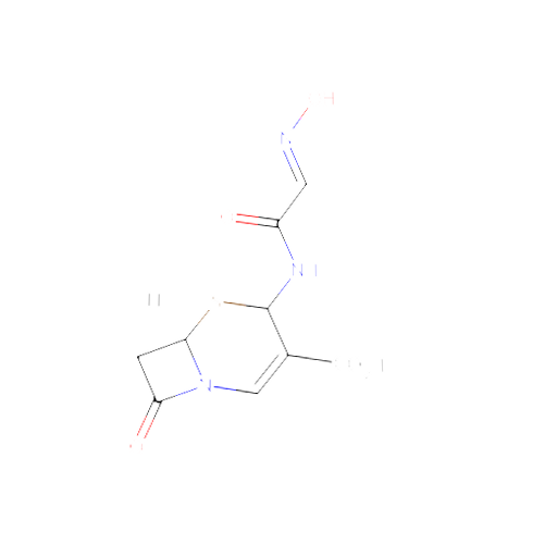 O=C(C=NO)NC1S[C@@H]2CC(=O)N2C=C1C(=O)O